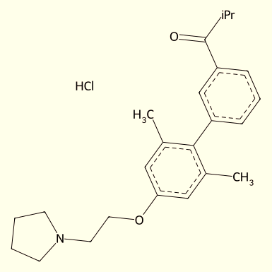 Cc1cc(OCCN2CCCC2)cc(C)c1-c1cccc(C(=O)C(C)C)c1.Cl